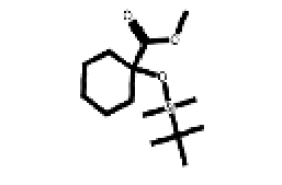 COC(=O)C1(O[Si](C)(C)C(C)(C)C)CCCCC1